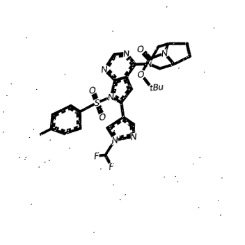 Cc1ccc(S(=O)(=O)n2c(-c3cnn(C(F)F)c3)cc3c(N4CC5CCC(C4)N5C(=O)OC(C)(C)C)ncnc32)cc1